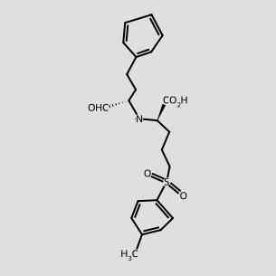 Cc1ccc(S(=O)(=O)CCC[C@@H]([N][C@H](C=O)CCc2ccccc2)C(=O)O)cc1